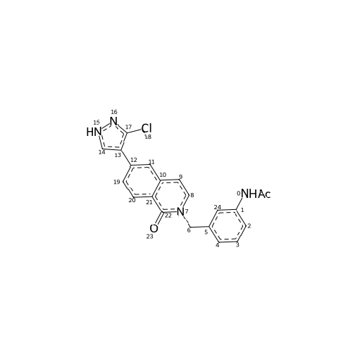 CC(=O)Nc1cccc(Cn2ccc3cc(-c4c[nH]nc4Cl)ccc3c2=O)c1